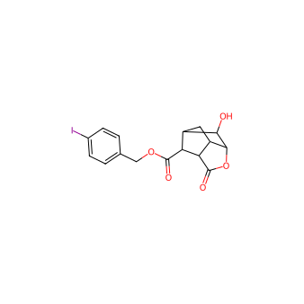 O=C(OCc1ccc(I)cc1)C1C2CC3C(OC(=O)C31)C2O